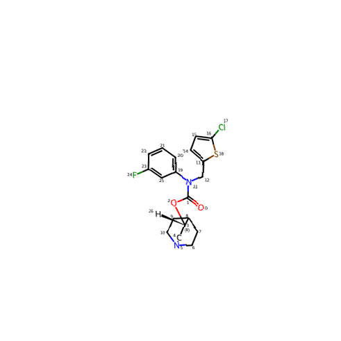 O=C(O[C@H]1CN2CCC1CC2)N(Cc1ccc(Cl)s1)c1cccc(F)c1